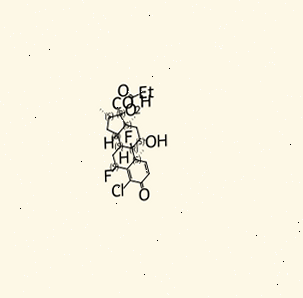 CCC(=O)O[C@]1(C(=O)O)[C@@H](C)C[C@H]2[C@@H]3C[C@H](F)C4=C(Cl)C(=O)C=C[C@]4(C)[C@@]3(F)[C@@H](O)C[C@@]21C